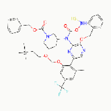 Cc1cc(C(F)(F)F)cc(OCOCC[Si](C)(C)C)c1-c1cnc(OCc2ccccc2)c(N(C(=O)ONS)C2CCCN(C(=O)OCc3ccccc3)C2)n1